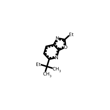 CCc1nc2ccc(C(C)(C)CC)nc2o1